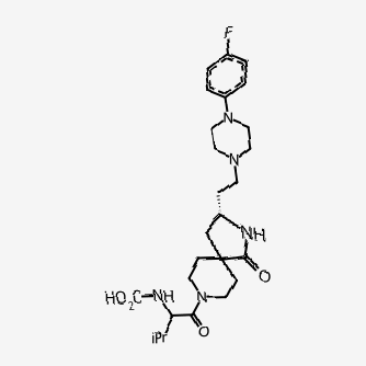 CC(C)C(NC(=O)O)C(=O)N1CCC2(CC1)C[C@H](CCN1CCN(c3ccc(F)cc3)CC1)NC2=O